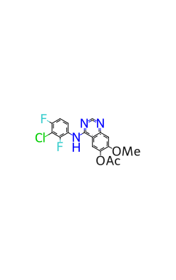 COc1cc2ncnc(Nc3ccc(F)c(Cl)c3F)c2cc1OC(C)=O